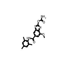 COc1cc(C(=O)Nc2c(C)cc(C)cc2C)cc2sc(OC(N)=O)nc12